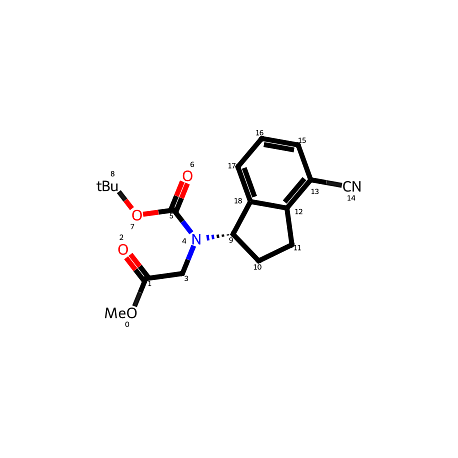 COC(=O)CN(C(=O)OC(C)(C)C)[C@H]1CCc2c(C#N)cccc21